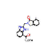 COC(=O)c1cccc2nc(CN3Cc4cccc(I)c4C3=O)[nH]c12